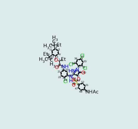 CCC(Oc1ccc(C(C)(C)CC)cc1C(C)(C)CC)C(=O)Nc1ccc(Cl)c(Nc2[nH]n(-c3c(Cl)cc(Cl)cc3Cl)c(=O)c2OS(=O)(=O)c2ccc(NC(C)=O)cc2)c1